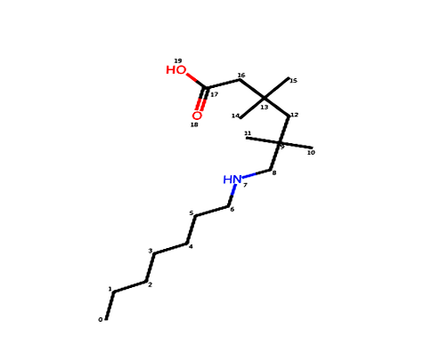 CCCCCCCNCC(C)(C)CC(C)(C)CC(=O)O